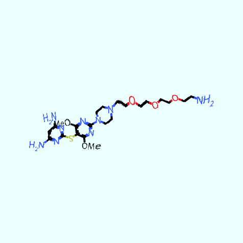 COc1nc(N2CCN(CCOCCOCCOCCN)CC2)nc(OC)c1Sc1nc(N)cc(N)n1